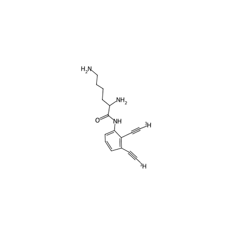 [3H]C#Cc1cccc(NC(=O)C(N)CCCCN)c1C#C[3H]